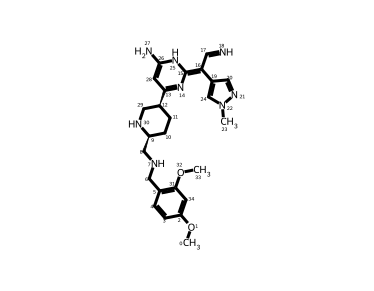 COc1ccc(CNC[C@@H]2CC[C@H](C3=N/C(=C(/C=N)c4cnn(C)c4)NC(N)=C3)CN2)c(OC)c1